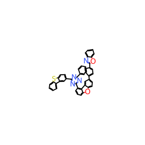 c1ccc(-c2nc(-c3ccc4sc5ccccc5c4c3)nc(-c3cccc4oc5ccc(-c6ccc(-c7nc8ccccc8o7)cc6)cc5c34)n2)cc1